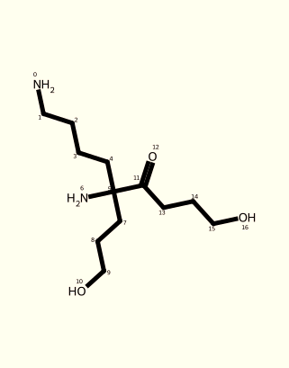 NCCCCC(N)(CCCO)C(=O)CCCO